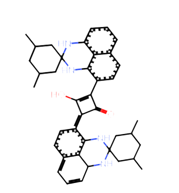 CC1CC(C)CC2(C1)Nc1cccc3ccc(C4=C(O)/C(=c5\ccc6c7c5NC5(CC(C)CC(C)C5)NC7C=CC=6)C4=O)c(c13)N2